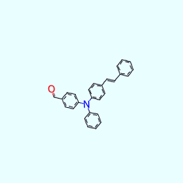 O=Cc1ccc(N(c2ccccc2)c2ccc(/C=C/c3ccccc3)cc2)cc1